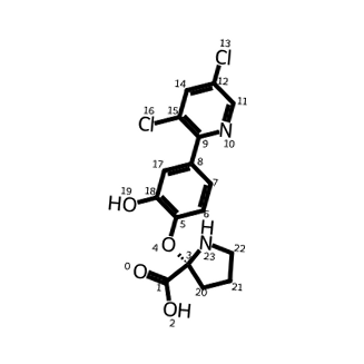 O=C(O)[C@]1(Oc2ccc(-c3ncc(Cl)cc3Cl)cc2O)CCCN1